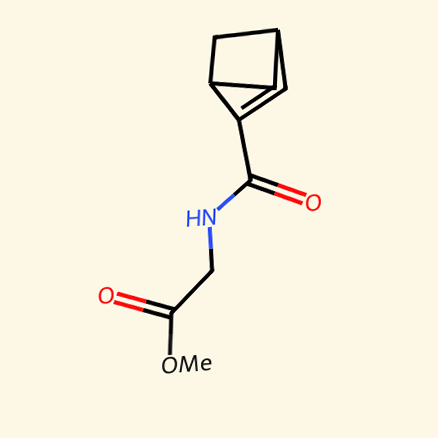 COC(=O)CNC(=O)C1=CC2CC1C2